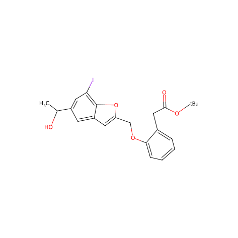 CC(O)c1cc(I)c2oc(COc3ccccc3CC(=O)OC(C)(C)C)cc2c1